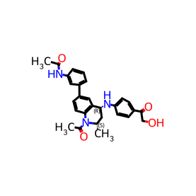 CC(=O)Nc1cccc(-c2ccc3c(c2)[C@H](Nc2ccc(C(=O)CO)cc2)C[C@H](C)N3C(C)=O)c1